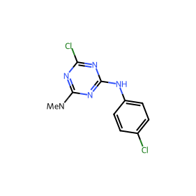 CNc1nc(Cl)nc(Nc2ccc(Cl)cc2)n1